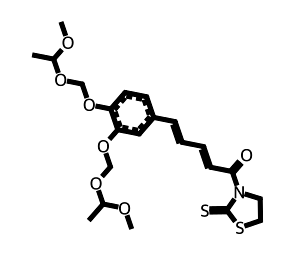 COC(C)OCOc1ccc(/C=C/C=C/C(=O)N2CCSC2=S)cc1OCOC(C)OC